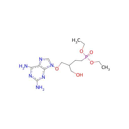 CCOP(=O)(CCC(CO)COn1cnc2c(N)nc(N)nc21)OCC